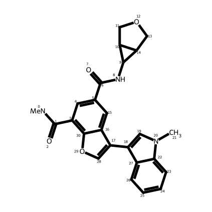 CNC(=O)c1cc(C(=O)NC2C3COCC32)cc2c(-c3cn(C)c4ccccc34)coc12